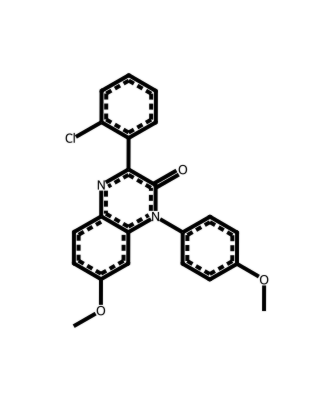 COc1ccc(-n2c(=O)c(-c3ccccc3Cl)nc3ccc(OC)cc32)cc1